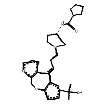 CC(C)(O)c1ccc2c(c1)/C(=C/CCN1CC[C@H](NC(=O)C3CCCC3)C1)c1cccnc1CO2